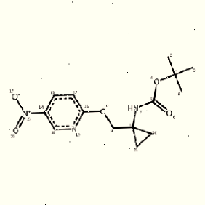 CC(C)(C)OC(=O)NC1(COc2ccc([N+](=O)[O-])cn2)CC1